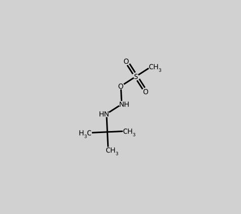 CC(C)(C)NNOS(C)(=O)=O